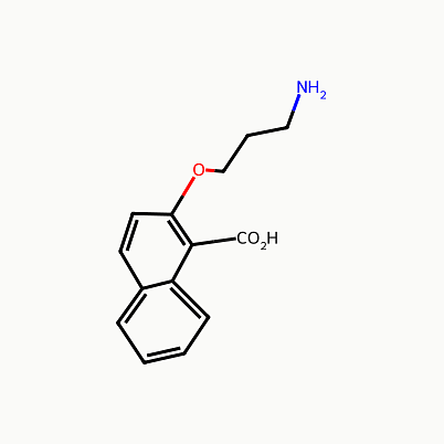 NCCCOc1ccc2ccccc2c1C(=O)O